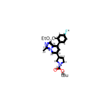 CCOC(=O)c1cc(F)ccc1-c1cc(C2=CCN(C(=O)OC(C)(C)C)C2)cn2c(C)ncc12